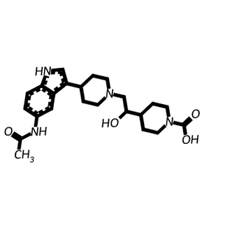 CC(=O)Nc1ccc2[nH]cc(C3CCN(CC(O)C4CCN(C(=O)O)CC4)CC3)c2c1